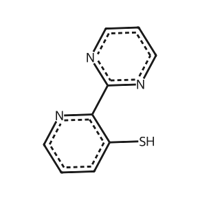 Sc1cccnc1-c1ncccn1